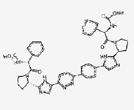 COC(=O)N[C@@H](C(=O)N1CCC[C@H]1c1ncc(-c2ccc(-c3ccc(-c4cnc([C@@H]5CCCN5C(=O)[C@H](NC(=O)O)c5ccccc5)[nH]4)nn3)cc2)[nH]1)c1ccccc1